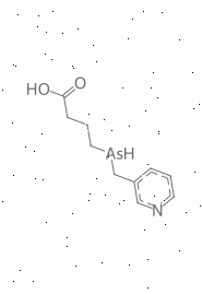 O=C(O)CCC[AsH]Cc1cccnc1